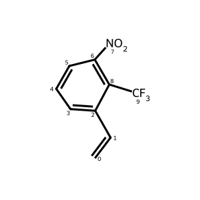 C=Cc1cccc([N+](=O)[O-])c1C(F)(F)F